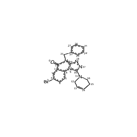 O=c1c2cc(Br)ccc2n2c(N3CC=CCC3)nnc2n1Cc1ccccc1